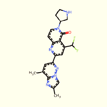 Cc1cn2nc(-c3cc(C(F)F)c4c(=O)n(C5CCNC5)ccc4n3)cc(C)c2n1